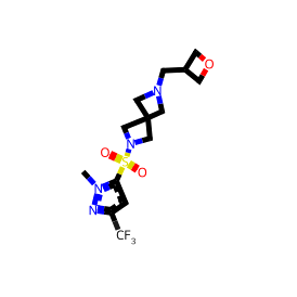 Cn1nc(C(F)(F)F)cc1S(=O)(=O)N1CC2(CN(CC3COC3)C2)C1